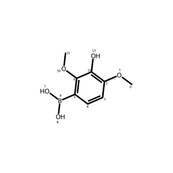 COc1ccc(B(O)O)c(OC)c1O